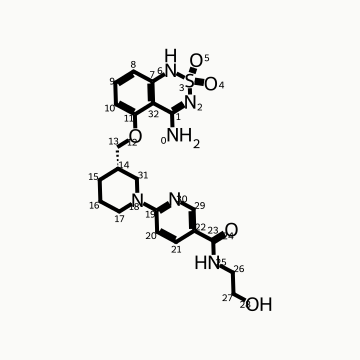 NC1=NS(=O)(=O)Nc2cccc(OC[C@H]3CCCN(c4ccc(C(=O)NCCO)cn4)C3)c21